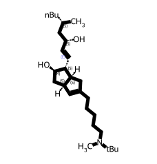 CCCC[C@H](C)C[C@H](O)/C=C/[C@@H]1[C@H]2CC(CCCCCN(C)C(C)(C)C)=C[C@H]2C[C@H]1O